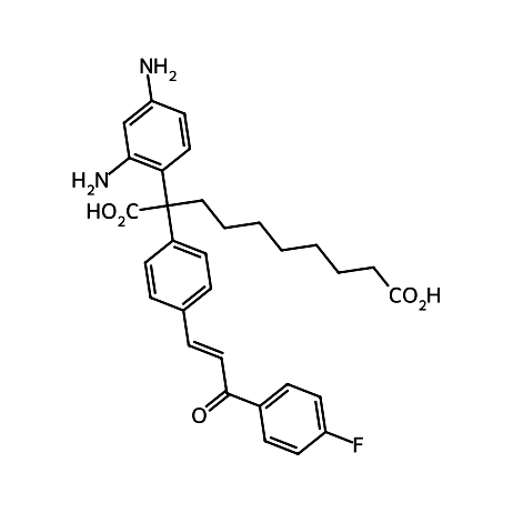 Nc1ccc(C(CCCCCCCC(=O)O)(C(=O)O)c2ccc(/C=C/C(=O)c3ccc(F)cc3)cc2)c(N)c1